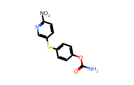 NC(=O)Oc1ccc(Sc2ccc([N+](=O)[O-])nc2)cc1